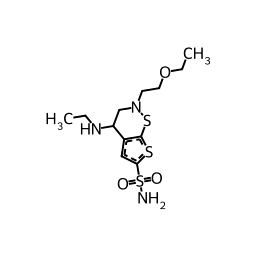 CCNC1CN(CCOCC)Sc2sc(S(N)(=O)=O)cc21